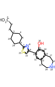 O=C(O)CCC1CCC(c2nc(-c3cc4c(cc3O)CCNCC4)cs2)CC1